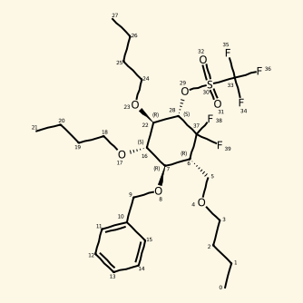 CCCCOC[C@@H]1[C@@H](OCc2ccccc2)[C@H](OCCCC)[C@@H](OCCCC)[C@H](OS(=O)(=O)C(F)(F)F)C1(F)F